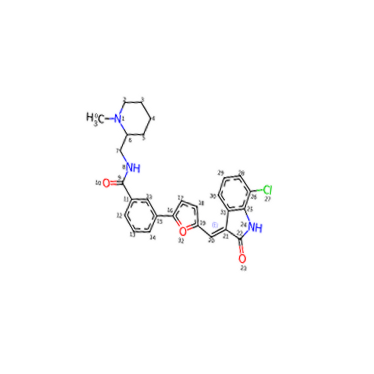 CN1CCCCC1CNC(=O)c1cccc(-c2ccc(/C=C3/C(=O)Nc4c(Cl)cccc43)o2)c1